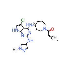 C=CC(=O)N1CCC[C@H](Nc2nc(Nc3cnn(CC)c3)nc3[nH]cc(Cl)c23)CC1